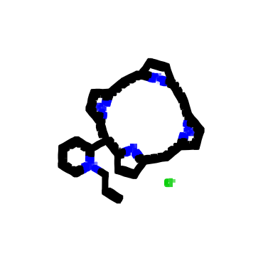 C=CC[n+]1ccccc1-c1c2nc(cc3ccc(cc4nc(cc5ccc1[nH]5)C=C4)[nH]3)C=C2.[Cl-]